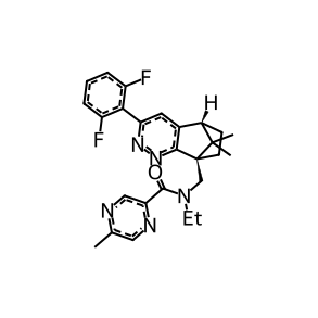 CCN(C[C@@]12CC[C@@H](c3cc(-c4c(F)cccc4F)nnc31)C2(C)C)C(=O)c1cnc(C)cn1